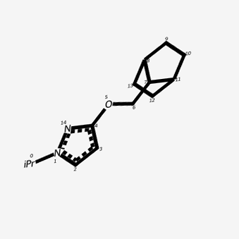 CC(C)n1ccc(OCC2C3CCC2CC3)n1